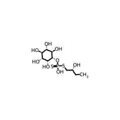 CC[C@@H](O)CSP(O)(=S)O[C@@H]1[C@H](O)[C@H](O)[C@@H](O)[C@H](O)[C@H]1O